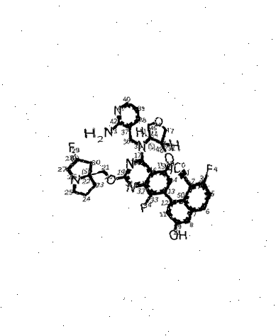 C#Cc1c(F)ccc2cc(O)cc(-c3cc4c5c(nc(OC[C@@]67CCCN6C[C@H](F)C7)nc5c3F)N(Cc3cccnc3N)[C@H]3COC[C@@H]3O4)c12